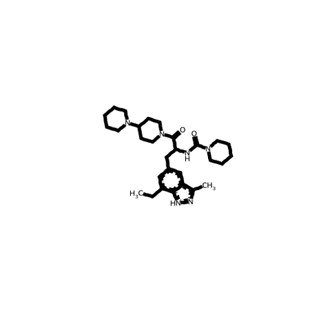 CCc1cc(CC(NC(=O)N2CCCCC2)C(=O)N2CCC(N3CCCCC3)CC2)cc2c(C)n[nH]c12